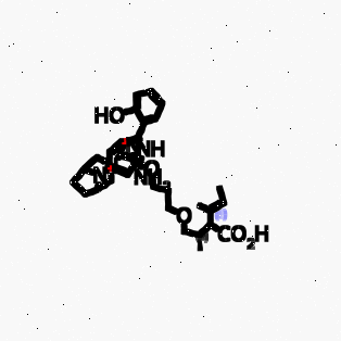 C/C=C(\C)C(C(=O)O)[C@@H](C)COCCCOc1cc(N2C3CCC2CN(c2cc(-c4ccccc4O)[nH]c2N)C3)ccn1